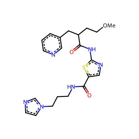 COCCC(Cc1cccnc1)C(=O)Nc1ncc(C(=O)NCCCn2ccnc2)s1